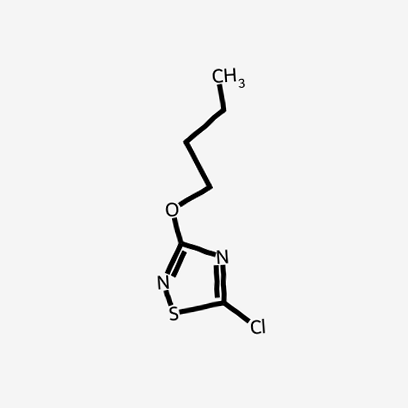 CCCCOc1nsc(Cl)n1